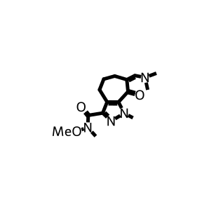 CON(C)C(=O)c1nn(C)c2c1CCCC(=CN(C)C)C2=O